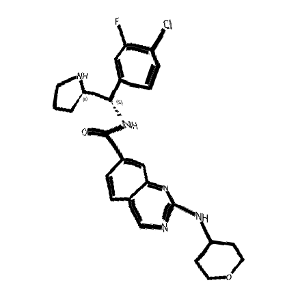 O=C(N[C@@H](c1ccc(Cl)c(F)c1)[C@H]1CCCN1)c1ccc2cnc(NC3CCOCC3)nc2c1